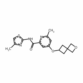 Cc1cc(OC2CC3(COC3)C2)cc(C(=O)Nc2nc(C)cs2)n1